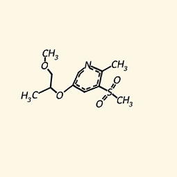 COCC(C)Oc1cnc(C)c(S(C)(=O)=O)c1